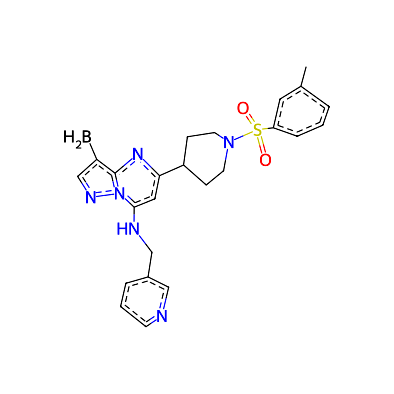 Bc1cnn2c(NCc3cccnc3)cc(C3CCN(S(=O)(=O)c4cccc(C)c4)CC3)nc12